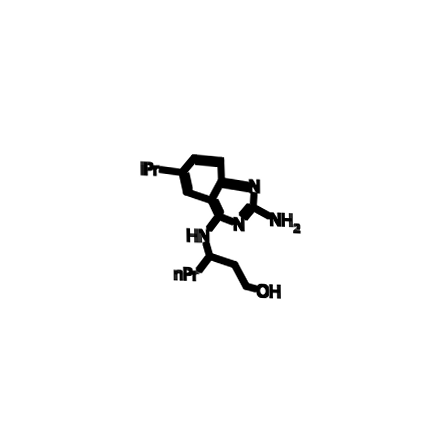 CCCC(CCO)Nc1nc(N)nc2ccc(C(C)C)cc12